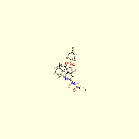 CC(=O)NC(=O)c1cc(C)c(C(C)(CS(=O)(=O)c2ccc(F)cc2)c2cc(F)ccc2F)cn1